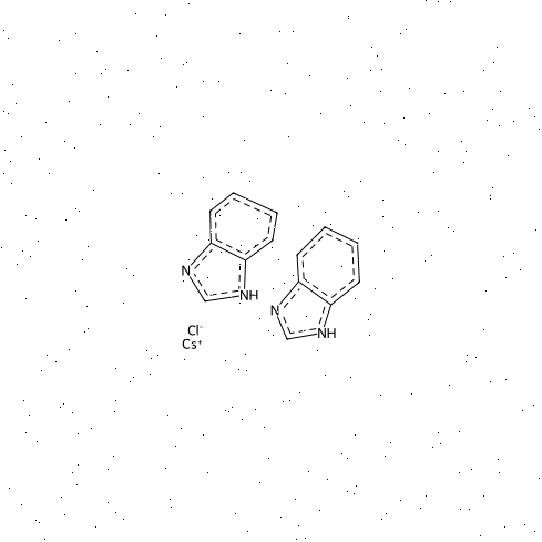 [Cl-].[Cs+].c1ccc2[nH]cnc2c1.c1ccc2[nH]cnc2c1